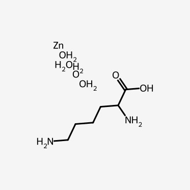 NCCCCC(N)C(=O)O.O.O.O.O.[Zn]